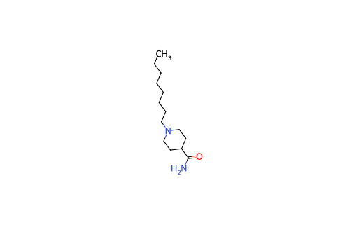 CCCCCCCCN1CCC(C(N)=O)CC1